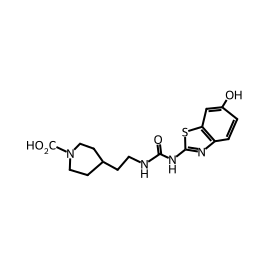 O=C(NCCC1CCN(C(=O)O)CC1)Nc1nc2ccc(O)cc2s1